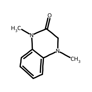 CN1CC(=O)N(C)c2ccccc21